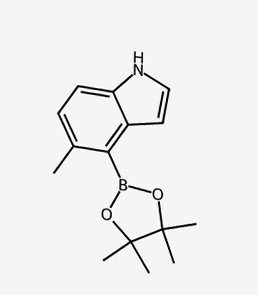 Cc1ccc2[nH]ccc2c1B1OC(C)(C)C(C)(C)O1